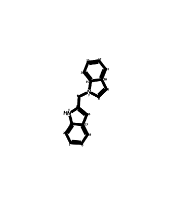 c1ccc2[nH]c(Cn3ccc4ccccc43)cc2c1